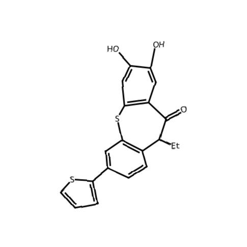 CCC1C(=O)c2cc(O)c(O)cc2Sc2cc(-c3cccs3)ccc21